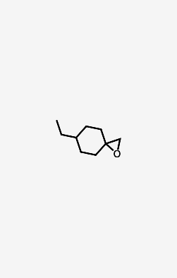 CCC1CCC2(CC1)CO2